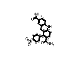 NC(=O)c1ccc2c(c1)Cc1c(ccc(C(N)=O)c1-c1ccc([N+](=O)[O-])cc1)N2